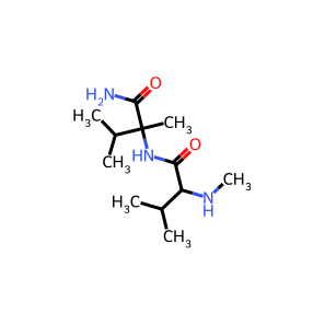 CNC(C(=O)NC(C)(C(N)=O)C(C)C)C(C)C